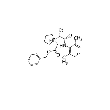 CCC(C(=O)Nc1c(C)cccc1C)[PH]1(CC(=O)OCc2ccccc2)CCCC1